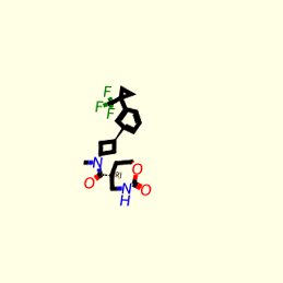 CN(C(=O)[C@@H]1CCOC(=O)NC1)[C@H]1C[C@H](c2cccc(C3(C(F)(F)F)CC3)c2)C1